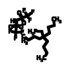 CCCCC(CP)(CCCC)CCCC.O=S(=O)(NS(=O)(=O)C(F)(F)F)C(F)(F)F